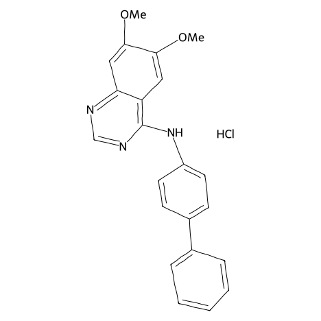 COc1cc2ncnc(Nc3ccc(-c4ccccc4)cc3)c2cc1OC.Cl